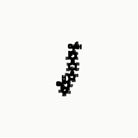 CNC(=O)c1ccc(N2CCC(N3CCC(c4cc5cccn5c(=O)[nH]4)C3)CC2)cn1